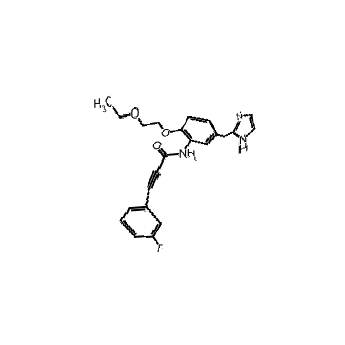 CCOCCOc1ccc(-c2ncc[nH]2)cc1NC(=O)C#Cc1cccc(F)c1